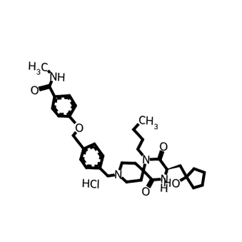 CCCCN1C(=O)[C@@H](CC2(O)CCCC2)NC(=O)C12CCN(Cc1ccc(COc3ccc(C(=O)NC)cc3)cc1)CC2.Cl